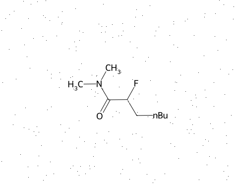 CCCCCC(F)C(=O)N(C)C